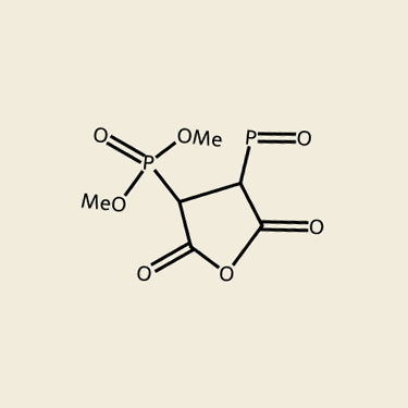 COP(=O)(OC)C1C(=O)OC(=O)C1P=O